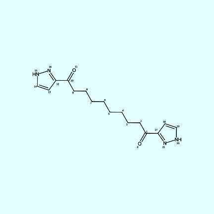 O=C(CCCCCCCCC(=O)c1cc[nH]n1)c1cc[nH]n1